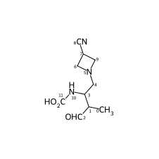 CC(C=O)C(CN1CC(C#N)C1)NC(=O)O